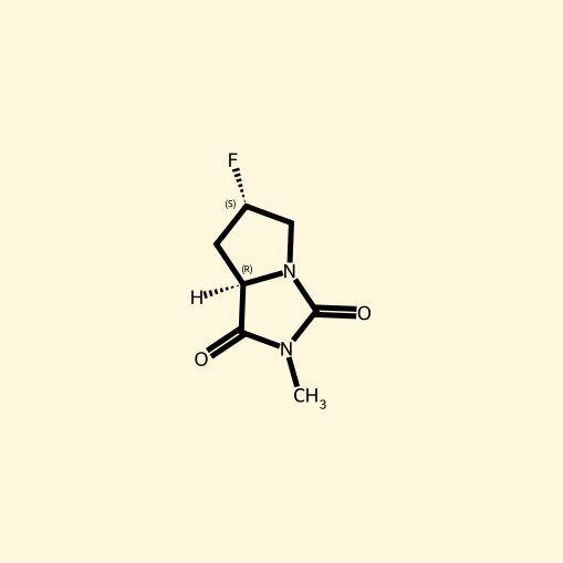 CN1C(=O)[C@H]2C[C@H](F)CN2C1=O